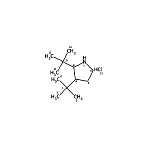 CC(C)(C)C1CCNC1C(C)(C)C.Cl